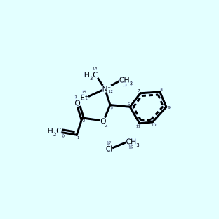 C=CC(=O)OC(c1ccccc1)[N+](C)(C)CC.CCl